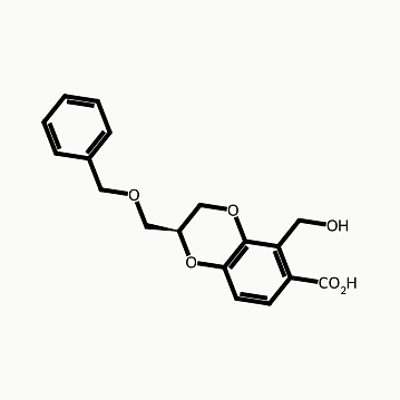 O=C(O)c1ccc2c(c1CO)OC[C@H](COCc1ccccc1)O2